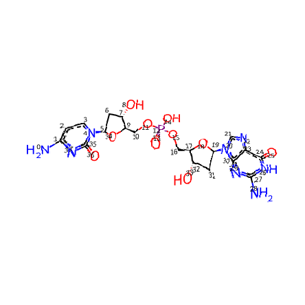 Nc1ccn([C@H]2C[C@H](O)[C@@H](COP(=O)(O)OC[C@H]3O[C@@H](n4cnc5c(=O)[nH]c(N)nc54)C[C@@H]3O)O2)c(=O)n1